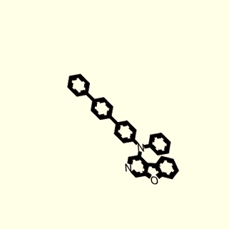 c1ccc(-c2ccc(-c3ccc(N(c4ccccc4)c4cncc5oc6ccccc6c45)cc3)cc2)cc1